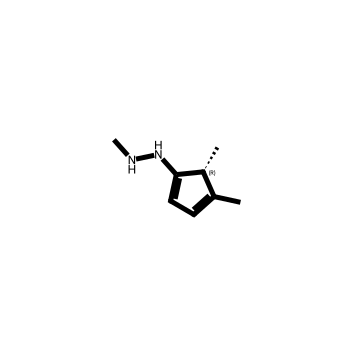 CNNC1=CC=C(C)[C@H]1C